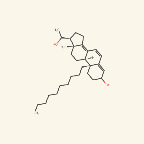 CCCCCCCCCC[C@]12CCC(O)C=C1C=CC1=C3CC[C@H](C(C)O)[C@@]3(C)CC[C@@H]12